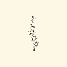 C/C=C/CCC(=O)Oc1ccc(-c2ccc(-c3ccc(C#N)s3)cc2)cc1